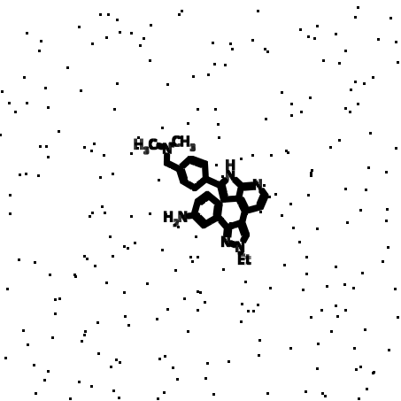 CCn1cc(-c2ccnc3[nH]c(C4C=CC(CN(C)C)=CC4)cc23)c(-c2cccc(N)c2)n1